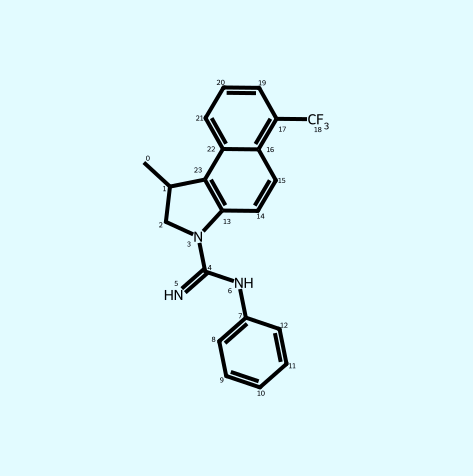 CC1CN(C(=N)Nc2ccccc2)c2ccc3c(C(F)(F)F)cccc3c21